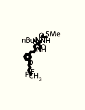 CCCCn1nc(NC(=O)CSC)c2c1CC(CCc1cccc(OCCCC(C)(F)F)c1)NC2=O